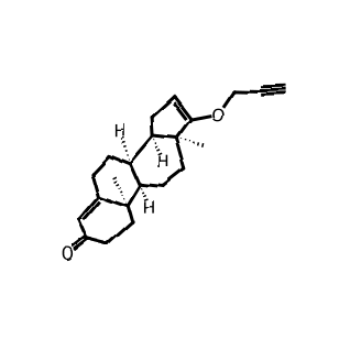 C#CCOC1=CC[C@@H]2[C@@H]3CCC4=CC(=O)CC[C@]4(C)[C@@H]3CC[C@]12C